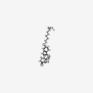 NCCCCCCCOc1ccc2c(c1)CN(C1CCC(=O)NC1=O)C2=O